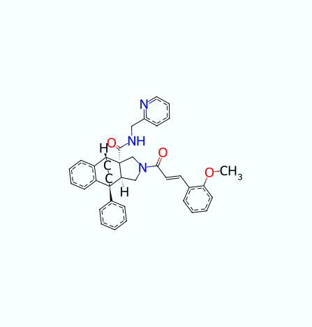 COc1ccccc1C=CC(=O)N1C[C@H]2[C@@]3(c4ccccc4)CC[C@H](c4ccccc43)[C@@]2(C(=O)NCc2ccccn2)C1